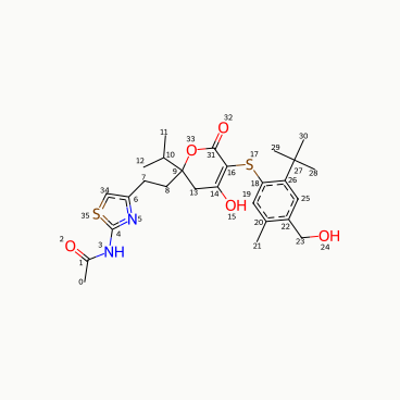 CC(=O)Nc1nc(CCC2(C(C)C)CC(O)=C(Sc3cc(C)c(CO)cc3C(C)(C)C)C(=O)O2)cs1